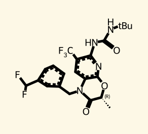 C[C@H]1Oc2nc(NC(=O)NC(C)(C)C)c(C(F)(F)F)cc2N(Cc2cccc(C(F)F)c2)C1=O